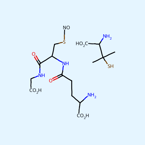 CC(C)(S)C(N)C(=O)O.NC(CCC(=O)NC(CSN=O)C(=O)NCC(=O)O)C(=O)O